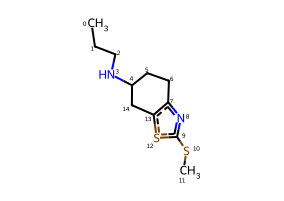 CCCNC1CCc2nc(SC)sc2C1